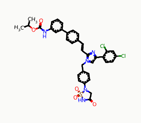 CC(C)OC(=O)Nc1cccc(-c2ccc(C=Cc3nc(-c4ccc(Cl)cc4Cl)cn3Cc3ccc(N4CC(=O)NS4(=O)=O)cc3)cc2)c1